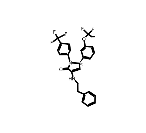 O=C1C(NCCc2ccccc2)=C[C@H](c2cccc(OC(F)(F)F)c2)N1c1ccc(C(F)(F)F)cc1